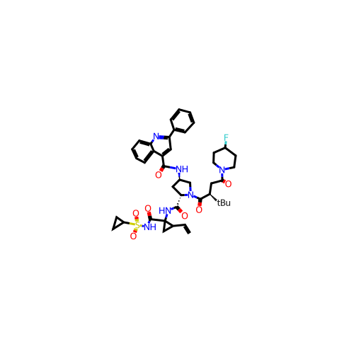 C=CC1CC1(NC(=O)[C@@H]1C[C@@H](NC(=O)c2cc(-c3ccccc3)nc3ccccc23)CN1C(=O)[C@@H](CC(=O)N1CCC(F)CC1)C(C)(C)C)C(=O)NS(=O)(=O)C1CC1